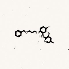 Cc1cnc(Nc2cc(Cl)ccc2OCCCOCc2ccccc2)c(Br)c1